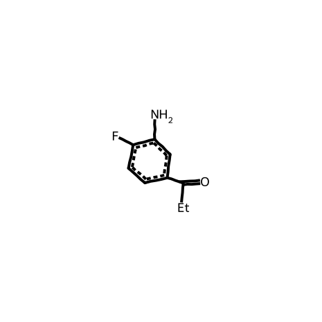 CCC(=O)c1ccc(F)c(N)c1